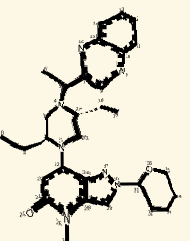 CC[C@H]1CN(C(C)c2cnc3ccccc3n2)[C@H](CC)CN1c1cc(=O)n(C)c2cn(C3CCCCO3)nc12